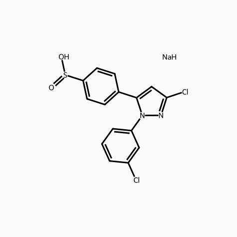 O=S(O)c1ccc(-c2cc(Cl)nn2-c2cccc(Cl)c2)cc1.[NaH]